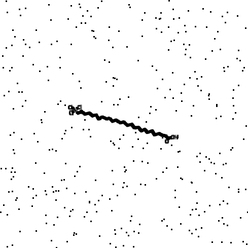 O=C(O)CCCCCCCCCCCCCCCCCCCCCCCCCC[Si](Cl)(Cl)Cl